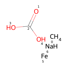 C.O=C(O)O.[Fe].[NaH]